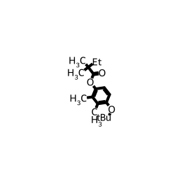 CCC(C)(C)C(=O)Oc1ccc(OC(C)(C)C)c(C)c1C